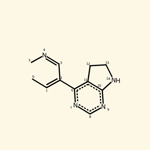 C/C=C(\C=N/C)c1ncnc2c1CCN2